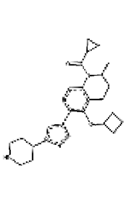 CC1CCc2c(ccc(-c3cnn(C4CCNCC4)c3)c2OC2CCC2)N1C(=O)C1CC1